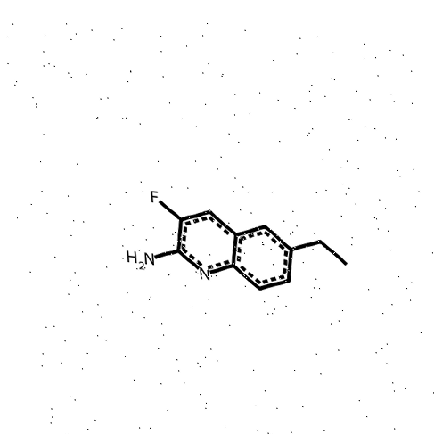 CCc1ccc2nc(N)c(F)cc2c1